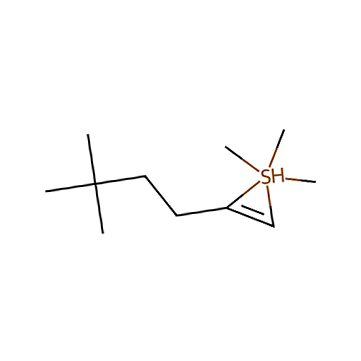 CC(C)(C)CCC1=C[SH]1(C)(C)C